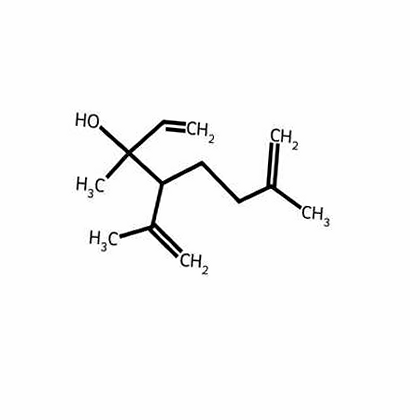 C=CC(C)(O)C(CCC(=C)C)C(=C)C